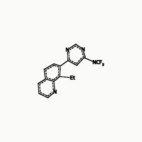 CCc1c(-c2cc(NC(F)(F)F)ncn2)ccc2cccnc12